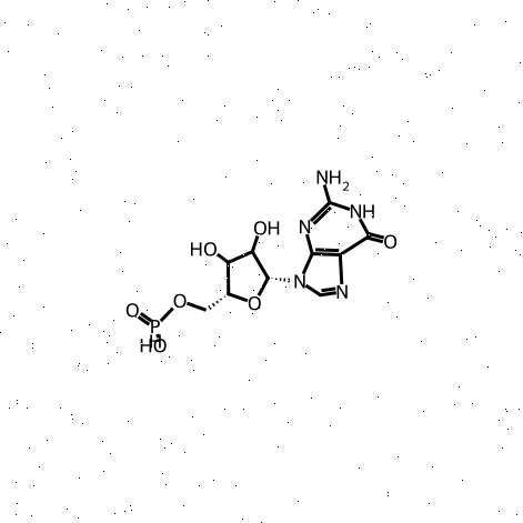 Nc1nc2c(ncn2[C@@H]2O[C@H](CO[PH](=O)O)C(O)C2O)c(=O)[nH]1